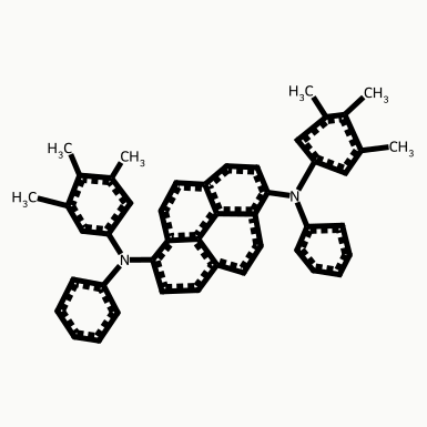 Cc1cc(N(c2ccccc2)c2ccc3ccc4c(N(c5ccccc5)c5cc(C)c(C)c(C)c5)ccc5ccc2c3c54)cc(C)c1C